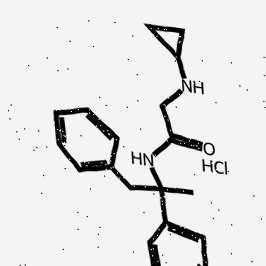 CC(Cc1ccccc1)(NC(=O)CNC1CC1)c1ccccc1.Cl